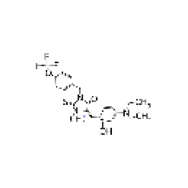 CCN(CC)c1ccc(/C=C2\C(=O)N(Cc3ccc(OC(F)(F)F)cc3)C(=S)N2C)c(O)c1